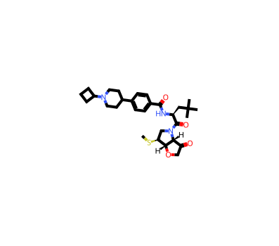 CS[C@H]1CN(C(=O)[C@H](CC(C)(C)C)NC(=O)c2ccc(C3CCN(C4CCC4)CC3)cc2)[C@@H]2C(=O)CO[C@H]12